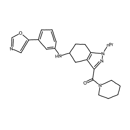 CCCn1nc(C(=O)N2CCCCC2)c2c1CCC(Nc1cccc(-c3cnco3)c1)C2